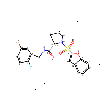 O=C(NCc1cc(Br)ccc1F)[C@@H]1CCCN1S(=O)(=O)c1cc2ccccc2o1